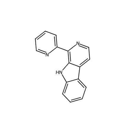 c1ccc(-c2nccc3c2[nH]c2ccccc23)nc1